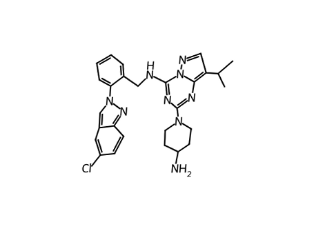 CC(C)c1cnn2c(NCc3ccccc3-n3cc4cc(Cl)ccc4n3)nc(N3CCC(N)CC3)nc12